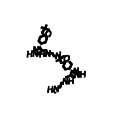 CNCCNCc1c[nH]nc1[C@H]1CC[C@]2(CC1)CC(C)(N(C)CCNCc1c[nH]nc1[C@H]1CC[C@@]3(CC1)CC(C)(C)CO3)CO2